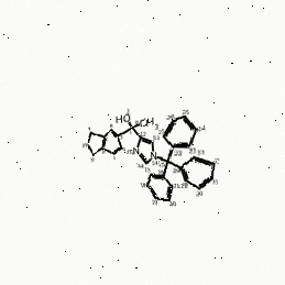 CC(O)(c1ccc2c(c1)CCC2)c1cn(C(c2ccccc2)(c2ccccc2)c2ccccc2)cn1